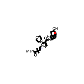 CNC(=O)C(C)(C)/C=C/n1ncc(C(=O)N[C@H]2C3CC4CC2C[C@@](O)(C4)C3)c1N1CCOCC1